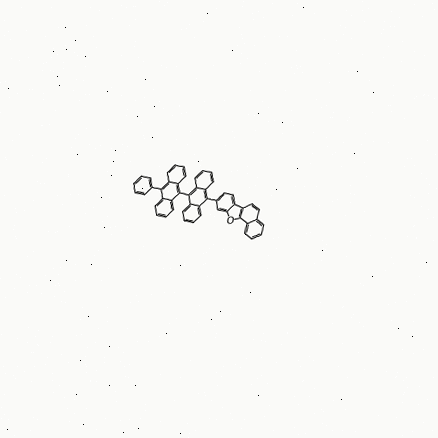 c1ccc(-c2c3ccccc3c(-c3c4ccccc4c(-c4ccc5c(c4)oc4c6ccccc6ccc54)c4ccccc34)c3ccccc23)cc1